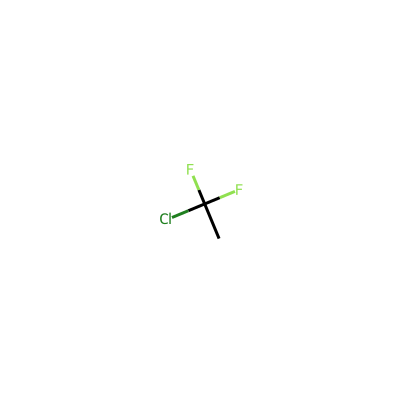 CC(F)(F)Cl